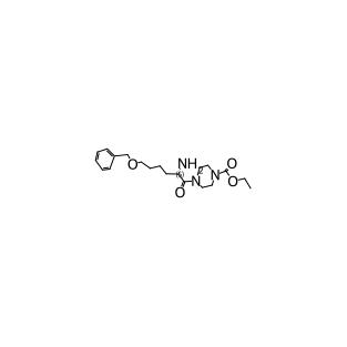 CCOC(=O)N1CCN(C(=O)[C@@H](N)CCCCOCc2ccccc2)CC1